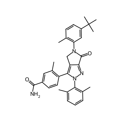 Cc1cc(C(N)=O)ccc1-c1c2c(nn1-c1c(C)cccc1C)C(=O)N(c1cc(C(C)(C)C)ccc1C)C2